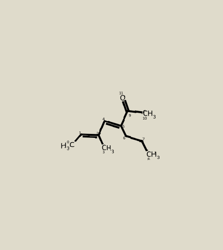 C/C=C(C)/C=C(\CCC)C(C)=O